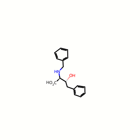 O=C(O)[C@@H](NCc1ccccc1)[C@H](O)Cc1ccccc1